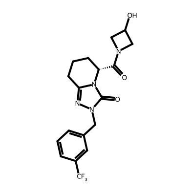 O=C([C@H]1CCCc2nn(Cc3cccc(C(F)(F)F)c3)c(=O)n21)N1CC(O)C1